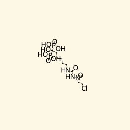 O=C(NCCCCCC(O)(P(=O)(O)O)P(=O)(O)O)N[N+](=O)CCCl